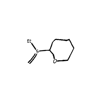 C=S(CC)C1CCCCO1